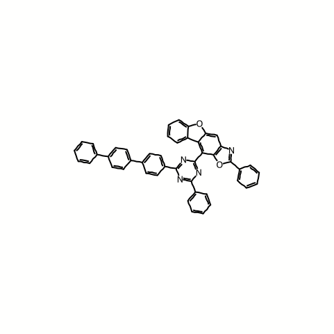 c1ccc(-c2ccc(-c3ccc(-c4nc(-c5ccccc5)nc(-c5c6oc(-c7ccccc7)nc6cc6oc7ccccc7c56)n4)cc3)cc2)cc1